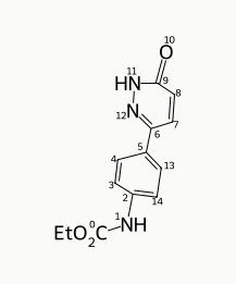 CCOC(=O)Nc1ccc(-c2ccc(=O)[nH]n2)cc1